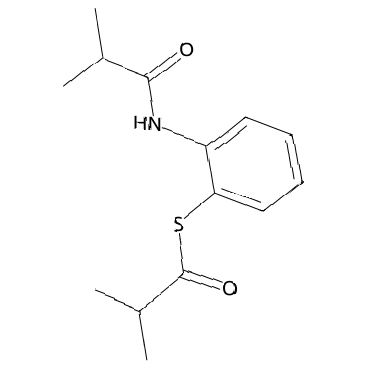 CC(C)C(=O)Nc1ccccc1SC(=O)C(C)C